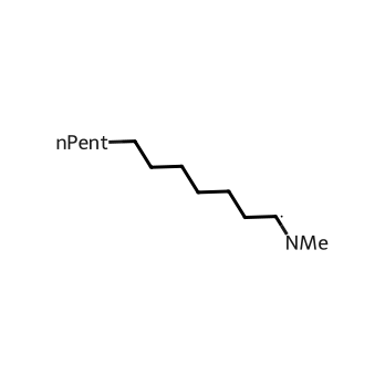 CCCCCCCCCCC[CH]NC